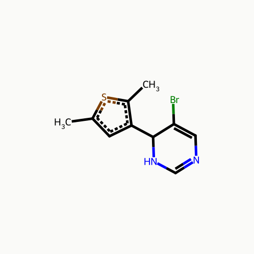 Cc1cc(C2NC=NC=C2Br)c(C)s1